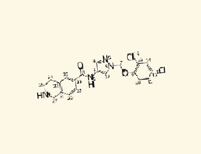 O=C(Nc1cnn(COc2ccc(Cl)cc2Cl)c1)c1ccc2c(c1)CCNC2